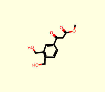 COC(=O)CC(=O)c1ccc(CO)c(CO)c1